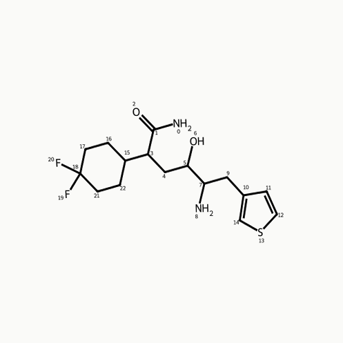 NC(=O)C(CC(O)C(N)Cc1ccsc1)C1CCC(F)(F)CC1